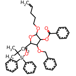 C=CCCCOC1OC(CO[Si](c2ccccc2)(c2ccccc2)C(C)(C)C)C(OCc2ccccc2)C1OC(=O)c1ccccc1